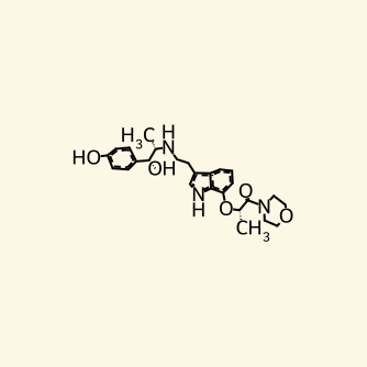 C[C@H](Oc1cccc2c(CCN[C@@H](C)[C@H](O)c3ccc(O)cc3)c[nH]c12)C(=O)N1CCOCC1